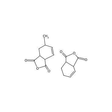 CC1C=CC2C(=O)OC(=O)C2C1.O=C1OC(=O)C2CCC=CC12